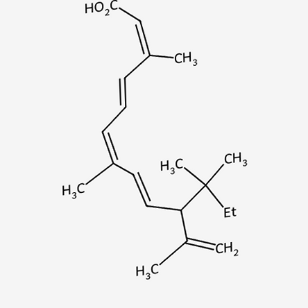 C=C(C)C(C=CC(C)=CC=CC(C)=CC(=O)O)C(C)(C)CC